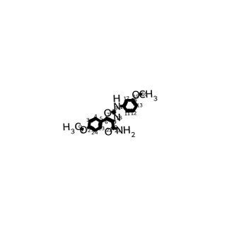 COc1ccc(-c2oc(Nc3cccc(OC)c3)nc2C(N)=O)cc1